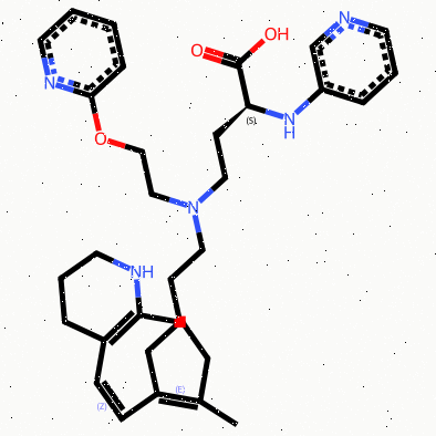 C/C1=C(CCCCN(CCOc2ccccn2)CC[C@H](Nc2cccnc2)C(=O)O)\C=C/C2=C(CC1)NCCC2